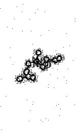 c1ccc(-c2nc(-c3cccc(-c4ccc5c(-c6ccccc6)cc6ccccc6c5c4)c3)nc(-c3cccc4oc5c(-c6ccc7ccccc7c6)cccc5c34)n2)cc1